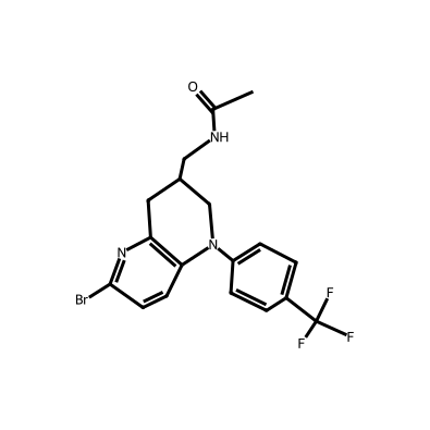 CC(=O)NCC1Cc2nc(Br)ccc2N(c2ccc(C(F)(F)F)cc2)C1